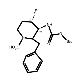 CC(C)(C)OC(=O)N[C@@H]1C(Cc2ccccc2)N(C(=O)O)CC[C@@H]1F